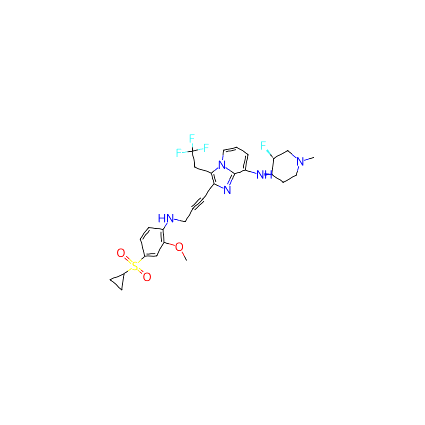 COc1cc(S(=O)(=O)C2CC2)ccc1NCC#Cc1nc2c(N[C@@H]3CCN(C)C[C@@H]3F)cccn2c1CC(F)(F)F